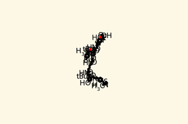 Cc1ncsc1-c1ccc(CNC(=O)[C@@H]2C[C@@H](O)CN2C(=O)C(NC(=O)CCCCNC(=O)CO[C@@H]2C[C@@H](C(=O)N(C)c3ccc(Br)cc3)N(C(=O)C(NC(=O)c3cc4cc(C(F)(F)P(=O)(O)O)ccc4s3)C(C)(C)C)C2)C(C)(C)C)cc1